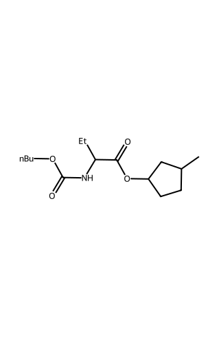 CCCCOC(=O)NC(CC)C(=O)OC1CCC(C)C1